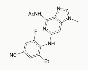 CCc1cc(C#N)cc(F)c1Nc1cc2c(ncn2C)c(NC(C)=O)n1